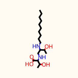 CCCCCCCCCCNC(CNC(C(=O)O)C(C)O)C(C)O